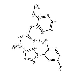 Cc1ccc(F)cc1-n1ncc2c(=O)[nH]c(Cc3ccccc3OC(F)(F)F)nc21